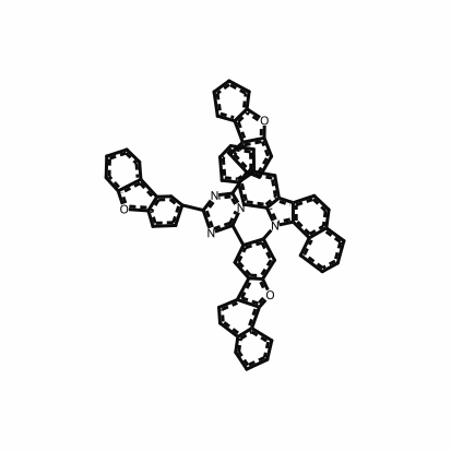 c1ccc2cc3c(cc2c1)c1ccc2ccccc2c1n3-c1cc2oc3c4ccccc4ccc3c2cc1-c1nc(-c2ccc3oc4ccccc4c3c2)nc(-c2ccc3oc4ccccc4c3c2)n1